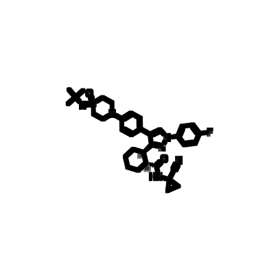 CC(C)(C)N=S1(=O)CCN(c2ccc(-c3cn(-c4ccc(F)cc4)nc3[C@@H]3CCCC[C@H]3C(=O)NC3(C#N)CC3)cc2)CC1